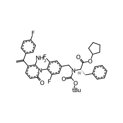 C=C(c1ccc(F)cc1)c1ccc(=O)n(-c2c(F)cc(CN(C(=O)OC(C)(C)C)[C@@H](Cc3ccccc3)C(=O)OC3CCCC3)cc2F)c1N